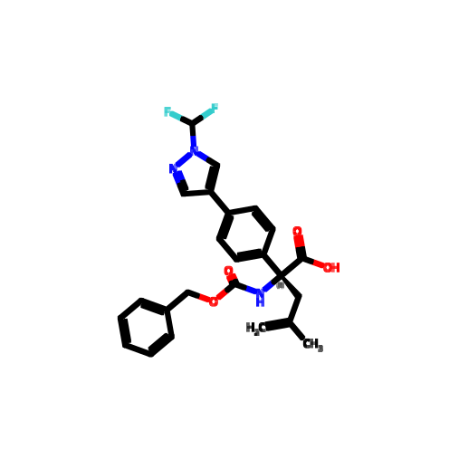 C=C(C)C[C@](NC(=O)OCc1ccccc1)(C(=O)O)c1ccc(-c2cnn(C(F)F)c2)cc1